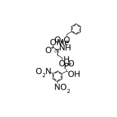 COC(=O)[C@H](CCO[PH](=O)C(O)c1cc([N+](=O)[O-])cc([N+](=O)[O-])c1)NC(=O)OCc1ccccc1